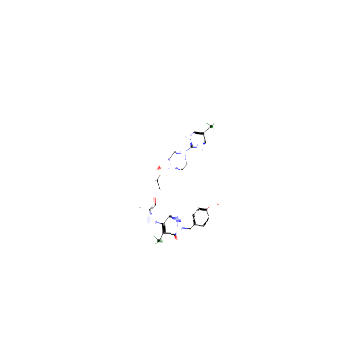 COc1ccc(Cn2ncc(N[C@@H](C)COCCS(=O)(=O)N3CCN(c4ncc(C(F)(F)F)cn4)CC3)c(C(F)(F)F)c2=O)cc1